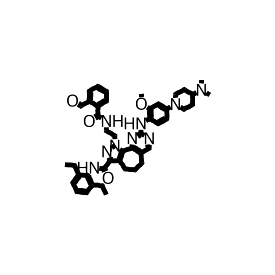 CCc1cccc(CC)c1NC(=O)c1nn(CCNC(=O)c2ccccc2C=O)c2c1CCCc1cnc(Nc3ccc(N4CCC(N(C)C)CC4)cc3OC)nc1-2